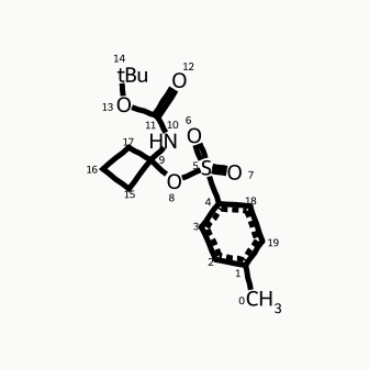 Cc1ccc(S(=O)(=O)OC2(NC(=O)OC(C)(C)C)CCC2)cc1